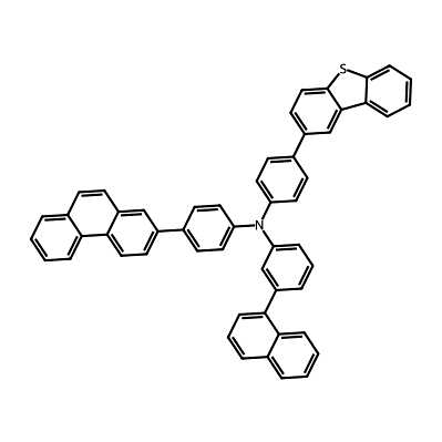 c1cc(-c2cccc3ccccc23)cc(N(c2ccc(-c3ccc4c(ccc5ccccc54)c3)cc2)c2ccc(-c3ccc4sc5ccccc5c4c3)cc2)c1